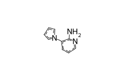 Nc1ncccc1-n1cccc1